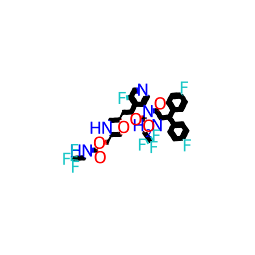 N[C@H](C(=O)N(C(=O)OCC(F)(F)F)c1cncc(F)c1CC[C@@H]1CN[C@H](COC(=O)NCC(F)(F)F)CO1)C(c1ccc(F)cc1)c1ccc(F)cc1